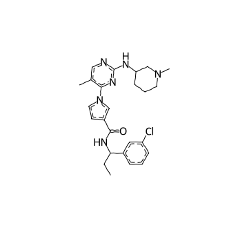 CCC(NC(=O)c1ccn(-c2nc(NC3CCCN(C)C3)ncc2C)c1)c1cccc(Cl)c1